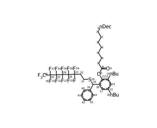 CCCCCCCCCCCCCCCCCC(=O)Oc1c(CCCC)cc(CCCC)cc1C(SCCC(F)(F)C(F)(F)C(F)(F)C(F)(F)C(F)(F)C(F)(F)F)c1ccccc1